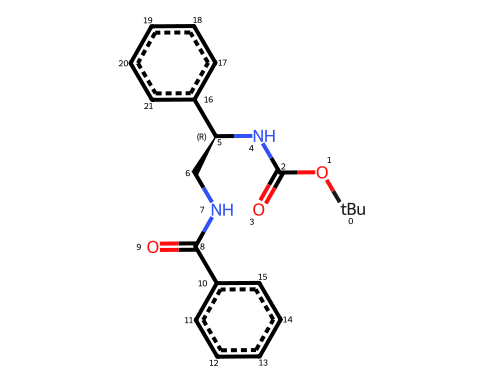 CC(C)(C)OC(=O)N[C@@H](CNC(=O)c1ccccc1)c1ccccc1